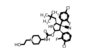 CC(C)(C)C[C@@H]1N[C@H](OC(=O)NC2CCN(CCO)CC2)[C@H](c2cccc(Cl)c2F)[C@@]1(C#N)c1ccc(Cl)cc1F